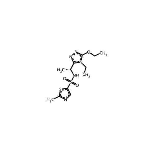 CCOc1nnc([C@@H](C)NS(=O)(=O)c2cnc(C)s2)n1CC